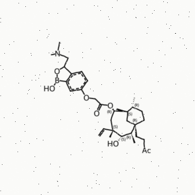 C=C[C@]1(C)C[C@@H](OC(=O)COc2ccc3c(c2)B(O)OC3CN(C)C)[C@@]2(C)C[C@](CCC(C)=O)(CC[C@H]2C)[C@@H](C)[C@@H]1O